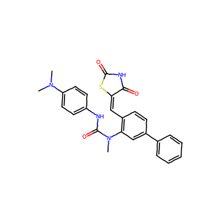 CN(C)c1ccc(NC(=O)N(C)c2cc(-c3ccccc3)ccc2/C=C2/SC(=O)NC2=O)cc1